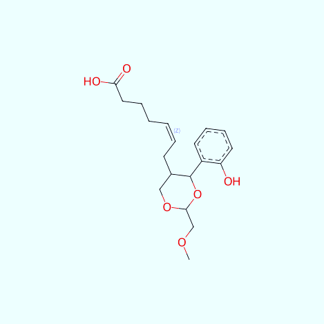 COCC1OCC(C/C=C\CCCC(=O)O)C(c2ccccc2O)O1